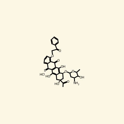 CC(=O)[C@]1(O)Cc2c(O)c3c(c(O)c2[C@@H](OC2CC(N)C(O)C(C)O2)C1)C(=O)c1c(OCC(=O)c2ccccc2)cccc1C3=S.Cl